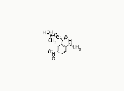 CNc1ccc([N+](=O)[O-])cc1[N+](=O)[O-].C[PH](=O)O